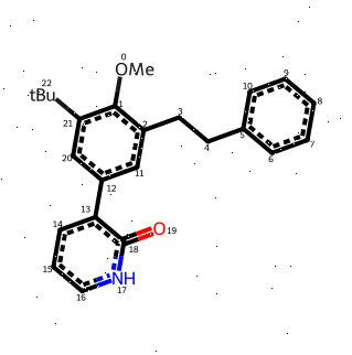 COc1c(CCc2ccccc2)cc(-c2ccc[nH]c2=O)cc1C(C)(C)C